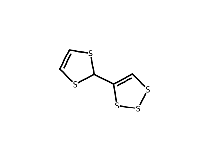 C1=CSC(C2=CSSS2)S1